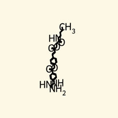 CCCCNC(=O)COC(=O)C=Cc1ccc(OC(=O)c2ccc(NC(=N)N)cc2)cc1